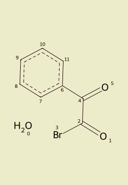 O.O=C(Br)C(=O)c1ccccc1